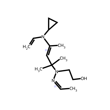 C=CN(/C(C)=C/C(C)(C)N(CCO)/N=C\C)C1CC1